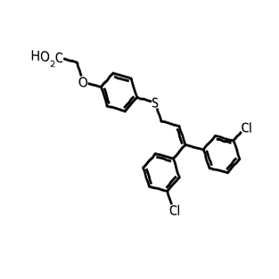 O=C(O)COc1ccc(SCC=C(c2cccc(Cl)c2)c2cccc(Cl)c2)cc1